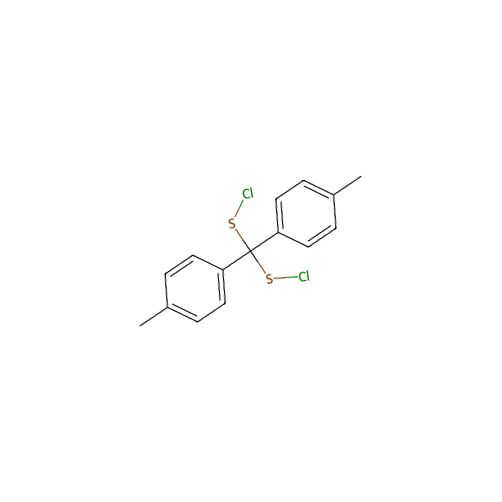 Cc1ccc(C(SCl)(SCl)c2ccc(C)cc2)cc1